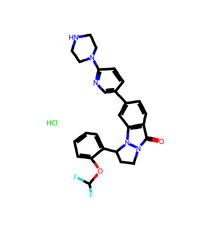 Cl.O=c1c2ccc(-c3ccc(N4CCNCC4)nc3)cc2n2n1CCC2c1ccccc1OC(F)F